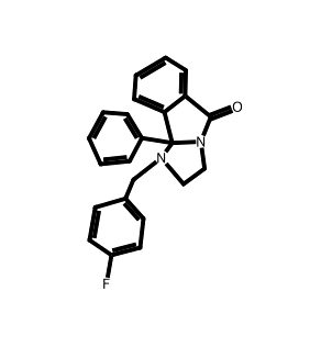 O=C1c2ccccc2C2(c3ccccc3)N(Cc3ccc(F)cc3)CCN12